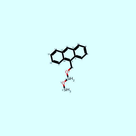 [SiH3]O[SiH2]OCc1c2ccccc2cc2ccccc12